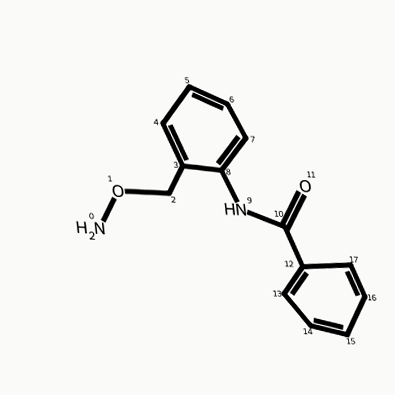 NOCc1ccccc1NC(=O)c1ccccc1